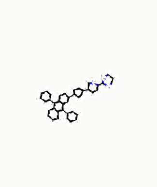 c1ccc(-c2c3ccccc3c(-c3ccccc3)c3cc(-c4ccc(-c5ccc(-c6ncccn6)nc5)cc4)ccc23)cc1